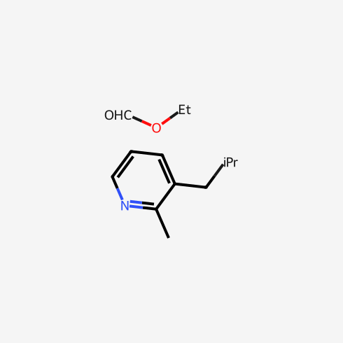 CCOC=O.Cc1ncccc1CC(C)C